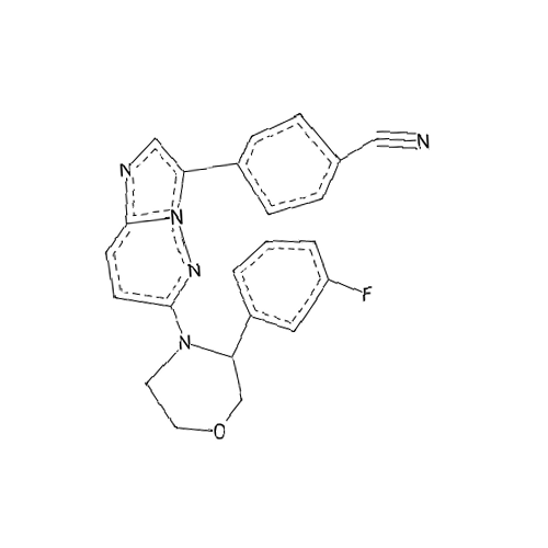 N#Cc1ccc(-c2cnc3ccc(N4CCOCC4c4cccc(F)c4)nn23)cc1